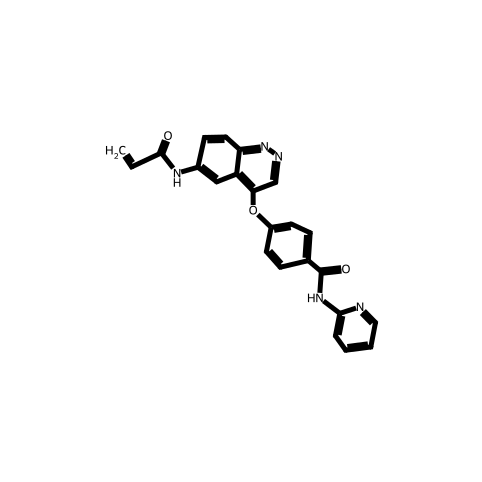 C=CC(=O)Nc1ccc2nncc(Oc3ccc(C(=O)Nc4ccccn4)cc3)c2c1